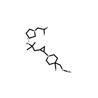 CC(C)(CC1CC1N1CCC(F)(COC(C)(C)C)CC1)N[C@@H]1CCN(CC(F)F)C1